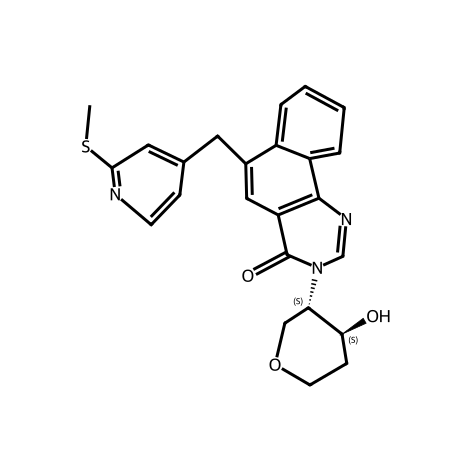 CSc1cc(Cc2cc3c(=O)n([C@H]4COCC[C@@H]4O)cnc3c3ccccc23)ccn1